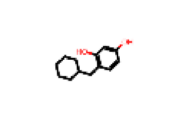 Oc1ccc(CC2CCCCC2)c(O)c1